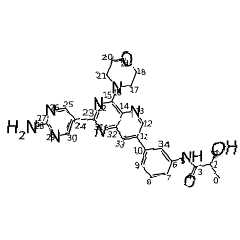 CC(O)C(=O)Nc1cccc(-c2cnc3c(N4CCOCC4)nc(-c4cnc(N)nc4)nc3c2)c1